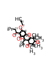 C#CCOc1cc2c(c(O)c1C(=O)CC(C)C)C(CC(C)C)C1=C(O2)C(C)(C)C(=O)C(C)(C)C1=O